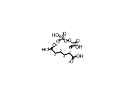 O=C(O)CCCCC(=O)O.O=S(=O)(O)OOS(=O)(=O)O